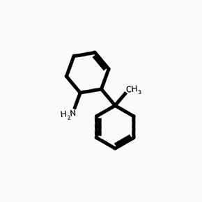 CC1(C2C=CCCC2N)C=CC=CC1